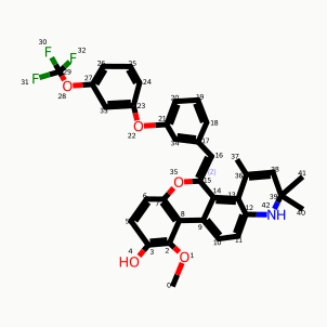 COc1c(O)ccc2c1-c1ccc3c(c1/C(=C/c1cccc(Oc4cccc(OC(F)(F)F)c4)c1)O2)C(C)=CC(C)(C)N3